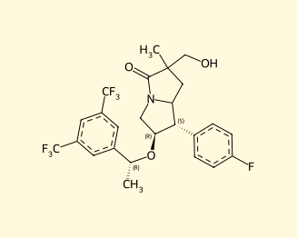 C[C@@H](O[C@H]1CN2C(=O)C(C)(CO)CC2[C@@H]1c1ccc(F)cc1)c1cc(C(F)(F)F)cc(C(F)(F)F)c1